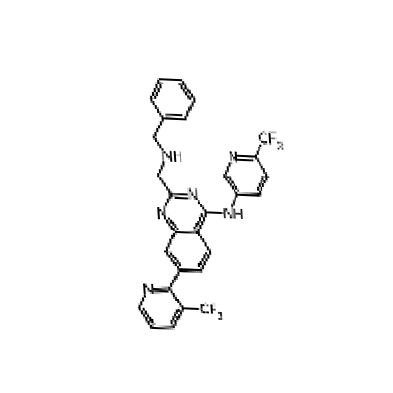 FC(F)(F)c1ccc(Nc2nc(CNCc3ccccc3)nc3cc(-c4ncccc4C(F)(F)F)ccc23)cn1